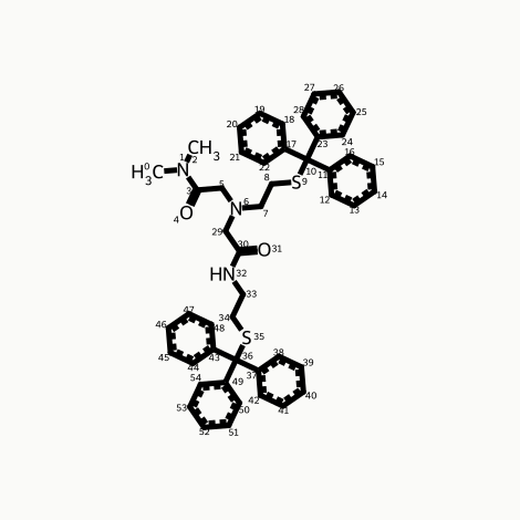 CN(C)C(=O)CN(CCSC(c1ccccc1)(c1ccccc1)c1ccccc1)CC(=O)NCCSC(c1ccccc1)(c1ccccc1)c1ccccc1